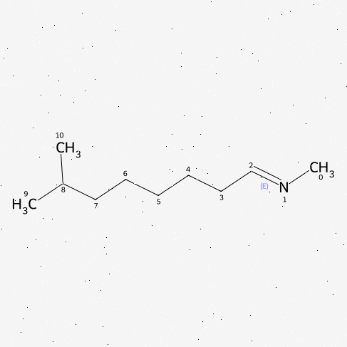 C/N=C/CCCCCC(C)C